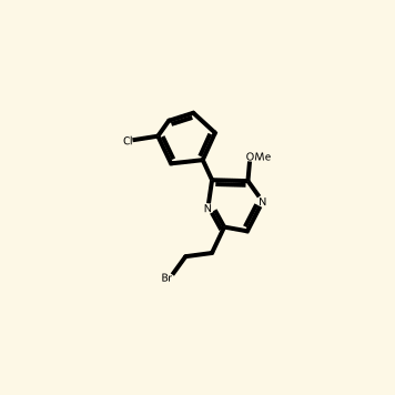 COc1ncc(CCBr)nc1-c1cccc(Cl)c1